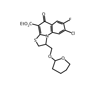 CCOC(=O)c1c2n(c3cc(Cl)c(F)cc3c1=O)C(COC1CCCCO1)CS2